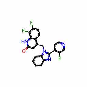 O=c1cc(Cn2c(-c3ccncc3F)nc3ccccc32)c2ccc(F)c(F)c2[nH]1